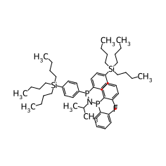 CCCC[Si](CCCC)(CCCC)c1ccc(P(c2ccc([Si](CCCC)(CCCC)CCCC)cc2)N(C(C)C)P(c2ccccc2F)c2ccccc2F)cc1